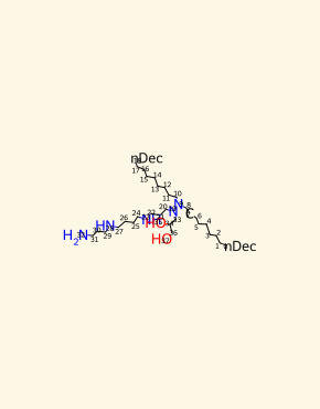 CCCCCCCCCCCCCCCCCCN(CCCCCCCCCCCCCCCCCC)N(CCCNCCCCNCCCN)CC(O)CO